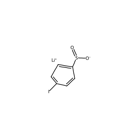 O=S([O-])c1ccc(I)cc1.[Li+]